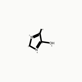 CC1=NCN=C1O